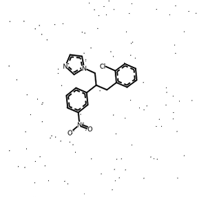 O=[N+]([O-])c1cccc(C(Cc2ccccc2Cl)Cn2ccnc2)c1